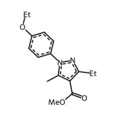 CCOc1ccc(-n2nc(CC)c(C(=O)OC)c2C)cc1